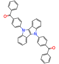 O=C(c1ccccc1)c1ccc(-n2c3ccccc3c3c2c2ccccc2n3-c2ccc(C(=O)c3ccccc3)cc2)cc1